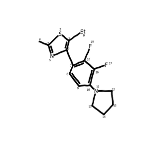 CCc1sc(C)nc1-c1ccc(N2CCCC2)c(F)c1F